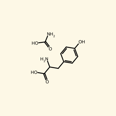 NC(=O)O.NC(Cc1ccc(O)cc1)C(=O)O